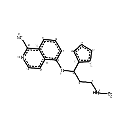 CCNCCC(Oc1cccc2c(C#N)nccc12)c1cccs1